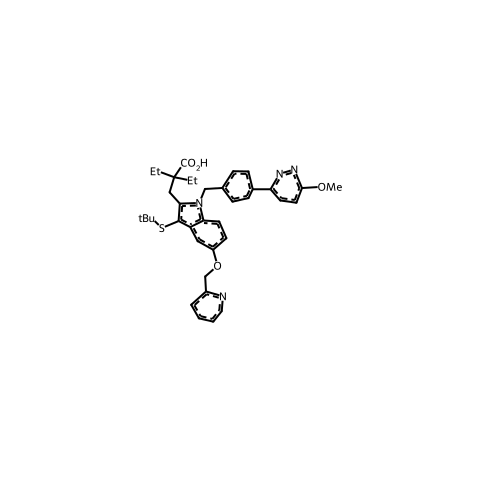 CCC(CC)(Cc1c(SC(C)(C)C)c2cc(OCc3ccccn3)ccc2n1Cc1ccc(-c2ccc(OC)nn2)cc1)C(=O)O